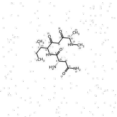 CC[C@H](C)C(NC(=O)[C@@H](N)CC(N)=O)C(=O)CC(=O)[C@H](C)NC